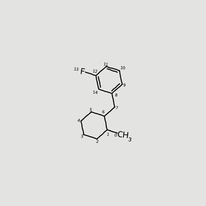 CC1CCCCC1Cc1cccc(F)c1